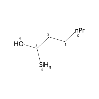 CCCCCC(O)[SiH3]